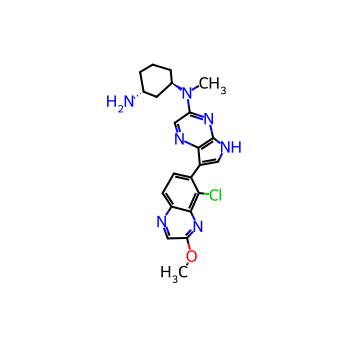 COc1cnc2ccc(-c3c[nH]c4nc(N(C)[C@@H]5CCC[C@@H](N)C5)cnc34)c(Cl)c2n1